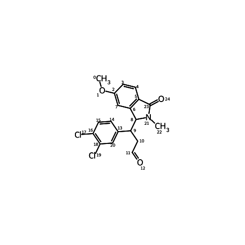 COc1ccc2c(c1)C(C(CC=O)c1ccc(Cl)c(Cl)c1)N(C)C2=O